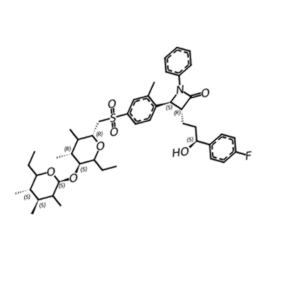 CCC1O[C@@H](O[C@@H]2C(CC)O[C@@H](CS(=O)(=O)c3ccc([C@@H]4[C@@H](CC[C@H](O)c5ccc(F)cc5)C(=O)N4c4ccccc4)c(C)c3)C(C)[C@H]2C)C(C)[C@@H](C)[C@@H]1C